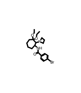 CCOC1(OCC)CCCCC(NC(=O)c2ccc(Br)cc2)C1N1CCC1